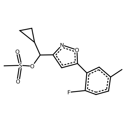 Cc1ccc(F)c(-c2cc(C(OS(C)(=O)=O)C3CC3)no2)c1